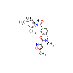 Cc1cc(C(=O)N(C)Cc2ccc(C(=O)N3CC4(C)C[C@H]3CC(C)(C)C4)cc2)no1